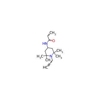 C#CCN1C(C)(C)CC(NC(=O)C=C)CC1(C)C